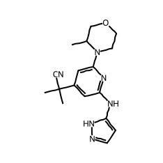 CC1COCCN1c1cc(C(C)(C)C#N)cc(Nc2ccn[nH]2)n1